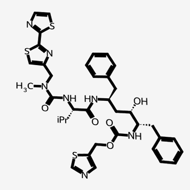 CC(C)[C@H](NC(=O)N(C)Cc1csc(-c2nccs2)n1)C(=O)N[C@@H](Cc1ccccc1)C[C@H](O)[C@H](Cc1ccccc1)NC(=O)OCc1cncs1